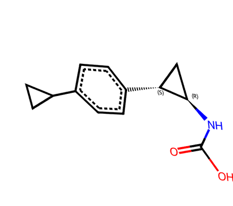 O=C(O)N[C@@H]1C[C@H]1c1ccc(C2CC2)cc1